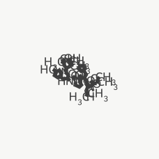 CC(C)CC(/C=C/C(Cc1ccccc1)C(=O)N1CCC[C@H]1C(=O)NC(Cc1ccc(O)cc1)C(=O)NC1CC(C)(C)N(O)C(C)(C)C1)NC(=O)OC(C)(C)C